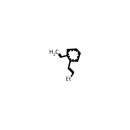 C=Cc1ccccc1/C=C/CC